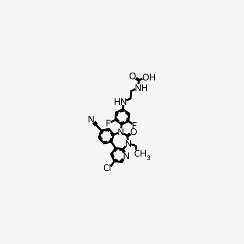 CCN1C(=O)N(c2c(F)cc(NCCNC(=O)O)cc2F)c2cc(C#N)ccc2-c2cc(Cl)cnc21